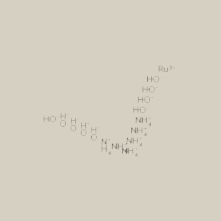 [NH4+].[NH4+].[NH4+].[NH4+].[NH4+].[NH4+].[OH-].[OH-].[OH-].[OH-].[OH-].[OH-].[OH-].[OH-].[OH-].[Ru+3]